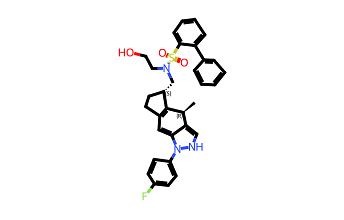 C[C@H]1C2=CNN(c3ccc(F)cc3)C2=CC2=C1[C@@H](CN(CCO)S(=O)(=O)c1ccccc1-c1ccccc1)CC2